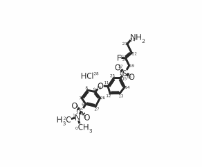 CN(C)S(=O)(=O)c1ccc(Oc2cccc(S(=O)(=O)CC(F)=CCN)c2)cc1.Cl